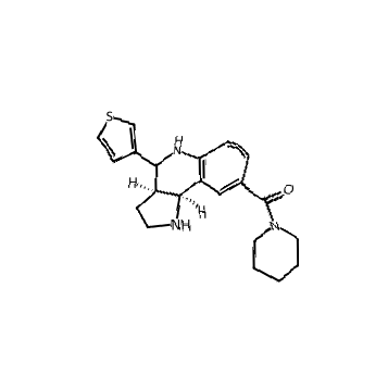 O=C(c1ccc2c(c1)[C@H]1NCC[C@H]1C(c1ccsc1)N2)N1CCCCC1